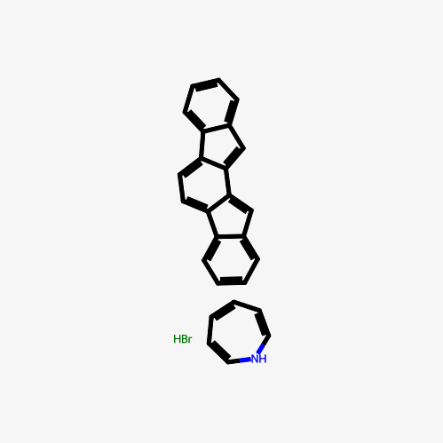 Br.C1=CC=CNC=C1.C1=c2c(ccc3c2=Cc2ccccc2-3)-c2ccccc21